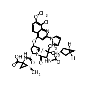 C=C[C@@H]1C[C@]1(NC(=O)[C@@H]1C[C@@H](Oc2cc(-n3cccn3)nc3c(Cl)c(OC)ccc23)CN1C(=O)[C@@H](NC(=O)O[C@@H]1C[C@@H]2C[C@@H]2C1)C(C)(C)C)C(=O)O